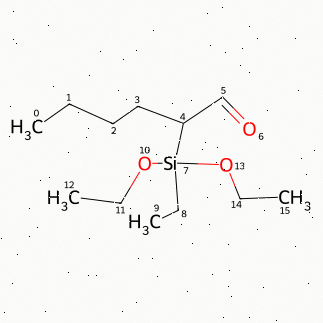 CCCCC(C=O)[Si](CC)(OCC)OCC